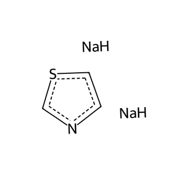 [NaH].[NaH].c1cscn1